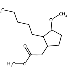 CCCCCC1C(CC(=O)OC)CCC1OC